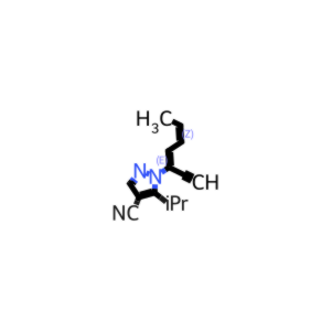 C#C/C(=C\C=C/C)n1ncc(C#N)c1C(C)C